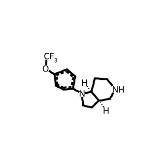 FC(F)(F)Oc1ccc(N2CC[C@@H]3CNCC[C@@H]32)cc1